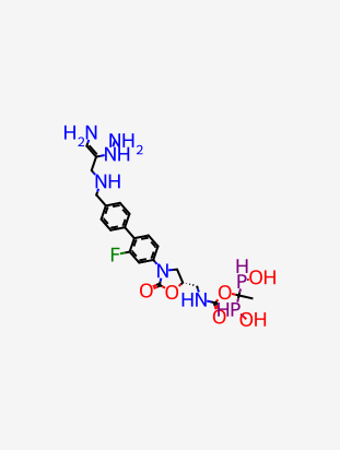 CC(OC(=O)NC[C@H]1CN(c2ccc(-c3ccc(CNC/C(=C/N)NN)cc3)c(F)c2)C(=O)O1)(PO)PO